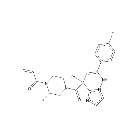 C=CC(=O)N1CCN(C(=O)C2(C(C)C)C=C(c3ccc(F)cc3)Nn3ccnc32)C[C@@H]1C